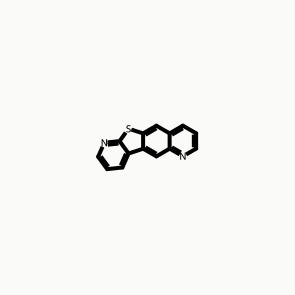 c1cnc2cc3c(cc2c1)sc1ncccc13